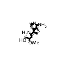 COC(CO)CC(N)c1csc2c(N)ncnc12